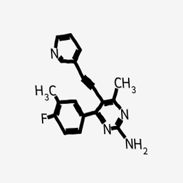 Cc1cc(-c2nc(N)nc(C)c2C#Cc2cccnc2)ccc1F